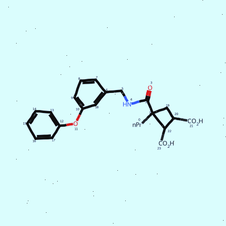 CCCC1(C(=O)NCc2cccc(Oc3ccccc3)c2)CC(C(=O)O)C1C(=O)O